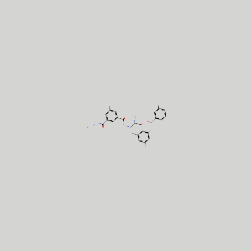 CCCN(CCC)C(=O)c1cc(CC)cc(C(=O)N[C@@H](Cc2cc(F)cc(F)c2)C(N)COCc2cccc(CC)c2)c1